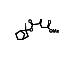 C=C(CC(=O)OC)C(=O)OC1(I)CC2CCC1C2